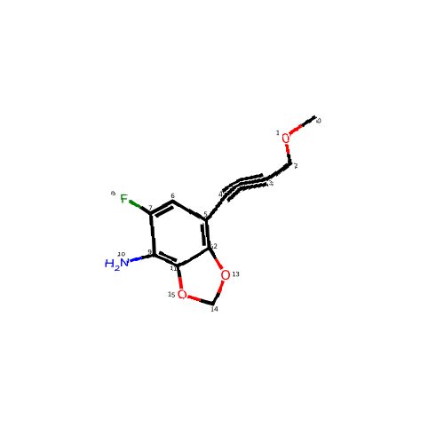 COCC#Cc1cc(F)c(N)c2c1OCO2